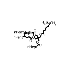 CCCCCCCC(=O)OCC(COC(=O)CCCCCCC)(COC(=O)CCCCN(C)C)COC(=O)CCC(CCCCC)C(CCCCC)CCCCC